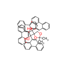 CC1(C)OCC(C(O)(c2cc3ccccc3c3ccccc23)c2cc3ccccc3c3ccccc23)(C(O)(c2cc3ccccc3c3ccccc23)c2cc3ccccc3c3ccccc23)O1